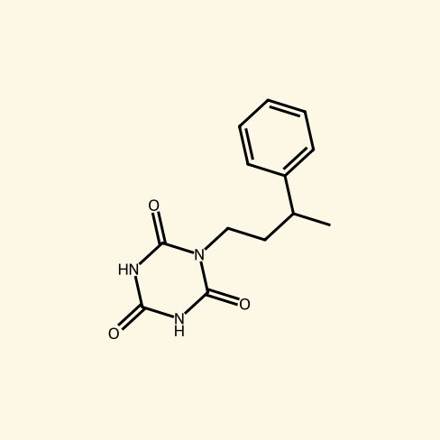 CC(CCn1c(=O)[nH]c(=O)[nH]c1=O)c1ccccc1